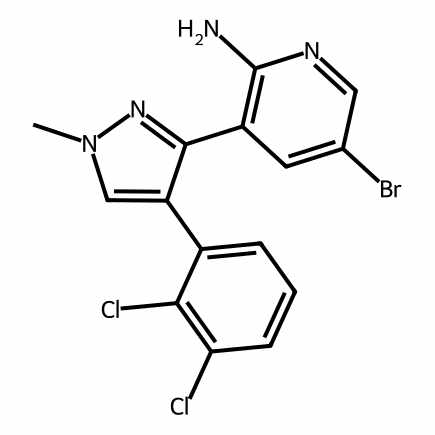 Cn1cc(-c2cccc(Cl)c2Cl)c(-c2cc(Br)cnc2N)n1